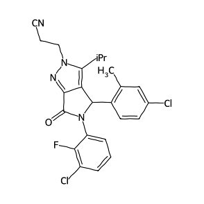 Cc1cc(Cl)ccc1C1c2c(nn(CCC#N)c2C(C)C)C(=O)N1c1cccc(Cl)c1F